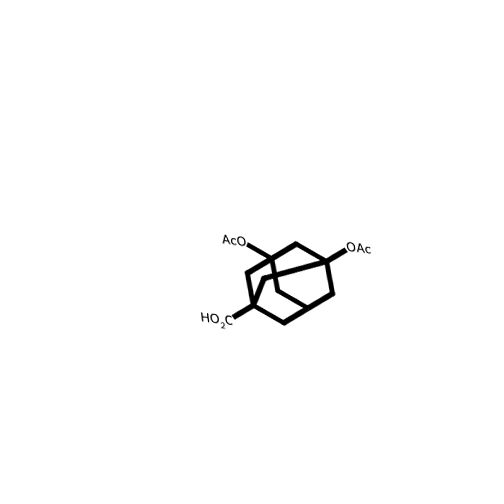 CC(=O)OC12CC3CC(OC(C)=O)(C1)CC(C(=O)O)(C3)C2